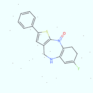 O=[N+]1C2=C(C=C(F)CC2)NCc2cc(-c3ccccc3)sc21